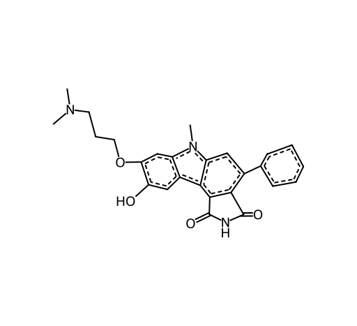 CN(C)CCCOc1cc2c(cc1O)c1c3c(c(-c4ccccc4)cc1n2C)C(=O)NC3=O